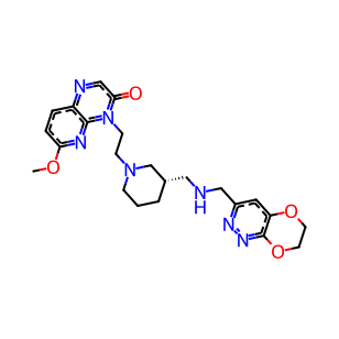 COc1ccc2ncc(=O)n(CCN3CCC[C@@H](CNCc4cc5c(nn4)OCCO5)C3)c2n1